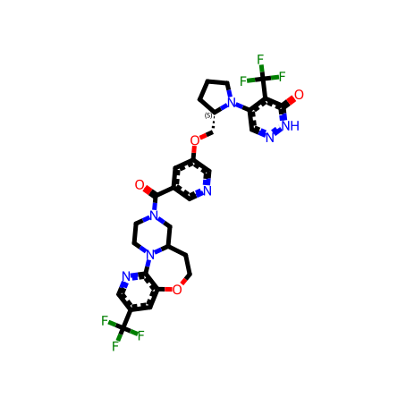 O=C(c1cncc(OC[C@@H]2CCCN2c2cn[nH]c(=O)c2C(F)(F)F)c1)N1CCN2c3ncc(C(F)(F)F)cc3OCCC2C1